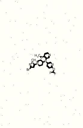 COc1ccncc1N(c1ccc(OC(F)F)nc1)C1CCN(c2cc(Br)nn2C)CC1